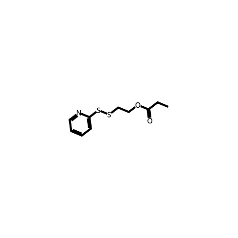 CCC(=O)OCCSSc1ccccn1